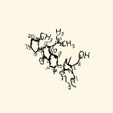 CCn1c(CO)nn(-c2cc3c(C(C)C)cn([C@H]4CCC[C@H]4C)c(=O)c3cc2F)c1=O